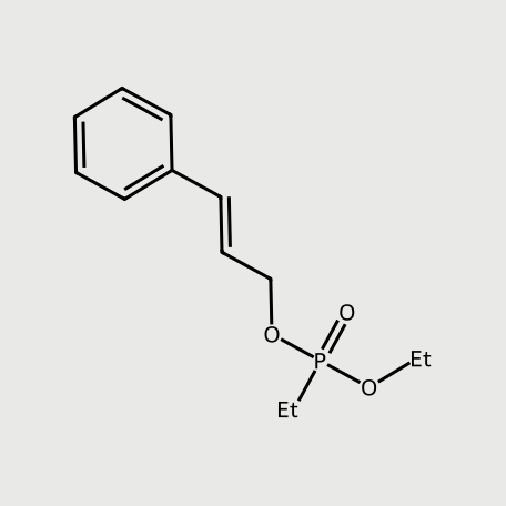 CCOP(=O)(CC)OCC=Cc1ccccc1